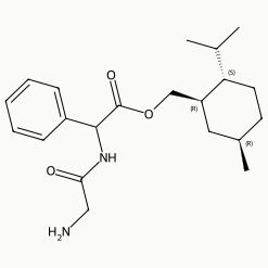 CC(C)[C@@H]1CC[C@@H](C)C[C@H]1COC(=O)C(NC(=O)CN)c1ccccc1